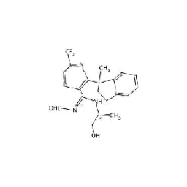 C[C@@H](CO)N/C(=N/C=O)c1ccc(C(F)(F)F)nc1C1(C)CCc2ccccc21